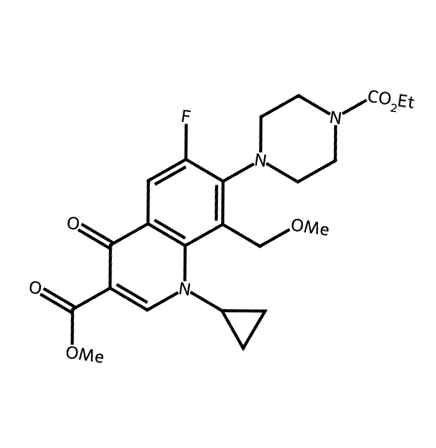 CCOC(=O)N1CCN(c2c(F)cc3c(=O)c(C(=O)OC)cn(C4CC4)c3c2COC)CC1